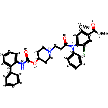 COC(=O)c1cc(Cl)c(N(C(=O)CCN2CCC(OC(=O)Nc3ccccc3-c3ccccc3)CC2)c2ccccc2)cc1OC